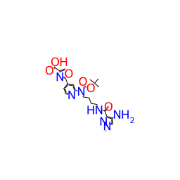 Cn1cc(N)c(C(=O)NCCCCN(C(=O)OC(C)(C)C)c2cc(-c3nc(C(=O)O)co3)ccn2)n1